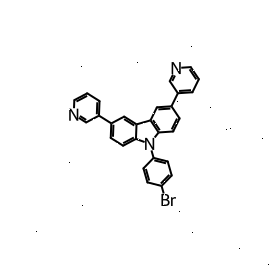 Brc1ccc(-n2c3ccc(-c4cccnc4)cc3c3cc(-c4cccnc4)ccc32)cc1